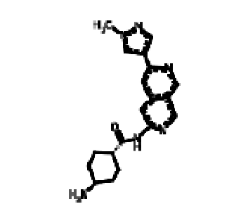 Cn1cc(-c2cc3cc(NC(=O)[C@H]4CC[C@H](N)CC4)ncc3cn2)cn1